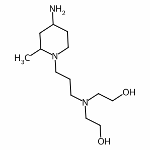 CC1CC(N)CCN1CCCN(CCO)CCO